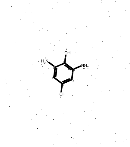 Nc1cc(O)cc(N)c1O